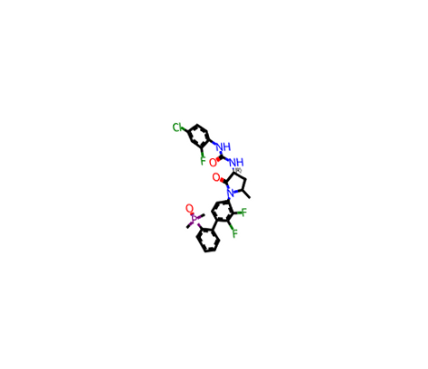 CC1C[C@@H](NC(=O)Nc2ccc(Cl)cc2F)C(=O)N1c1ccc(-c2ccccc2P(C)(C)=O)c(F)c1F